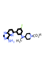 CN(c1cc(F)cc(-c2ccc3ncnc(N)c3n2)c1)C1CCN(C(=O)O)CC1